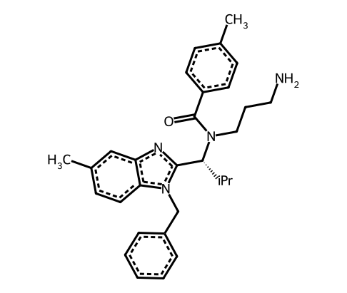 Cc1ccc(C(=O)N(CCCN)[C@@H](c2nc3cc(C)ccc3n2Cc2ccccc2)C(C)C)cc1